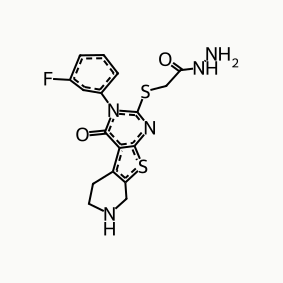 NNC(=O)CSc1nc2sc3c(c2c(=O)n1-c1cccc(F)c1)CCNC3